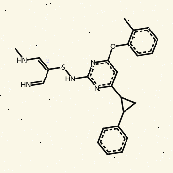 CN/C=C(\C=N)SNc1nc(Oc2ccccc2C)cc(C2CC2c2ccccc2)n1